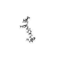 CC(C)NC[C@H](O)COc1ccc(CCC(N)=O)cc1